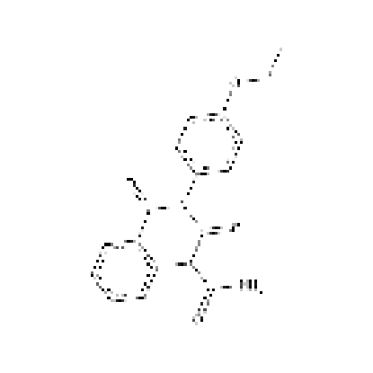 CCOc1ccc(N2C(=O)c3ccccc3C(C(N)=O)C2=O)cc1